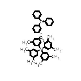 Cc1cc(C)c[c]([Al-]([c]2cc(C)cc(C)c2)([c]2cc(C)cc(C)c2)[c]2cc(C)cc(C)c2)c1.c1ccc([C+](c2ccccc2)c2ccccc2)cc1